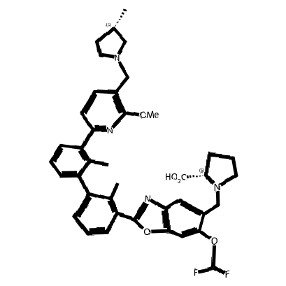 COc1nc(-c2cccc(-c3cccc(-c4nc5cc(CN6CCC[C@H]6C(=O)O)c(OC(F)F)cc5o4)c3C)c2C)ccc1CN1CC[C@H](C)C1